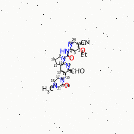 CCOc1cc(NC(=O)N2CCCc3cc(CN4CCN(C)CC4=O)c(C=O)nc32)ncc1C#N